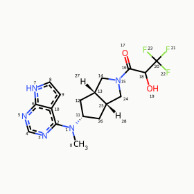 CN(c1ncnc2[nH]ccc12)[C@@H]1C[C@@H]2CN(C(=O)C(O)C(F)(F)F)C[C@@H]2C1